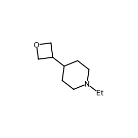 CCN1CCC(C2COC2)CC1